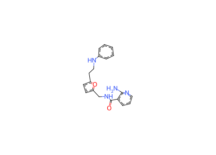 Nc1ncccc1C(=O)NCc1ccc(CCNc2ccccc2)o1